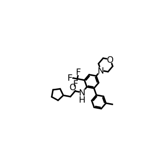 Cc1cccc(-c2cc(N3CCOCC3)cc(C(F)(F)F)c2NC(=O)CC2CCCC2)c1